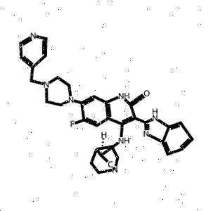 O=c1[nH]c2cc(N3CCN(Cc4ccncc4)CC3)c(F)cc2c(N[C@H]2CN3CCC2CC3)c1-c1nc2ccccc2[nH]1